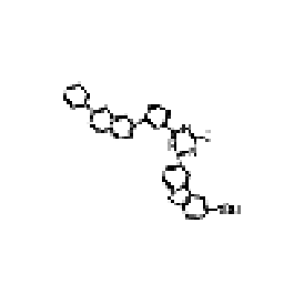 CC(C)(C)c1ccc2sc3ccc(-c4nc(Cl)nc(-c5cccc(-c6ccc7ccc(-c8ccccc8)cc7c6)c5)n4)cc3c2c1